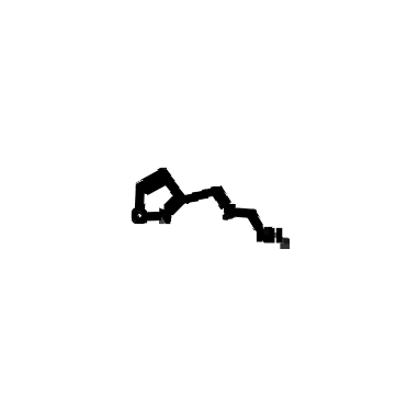 NCSCc1ccon1